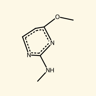 CNc1nccc(OC)n1